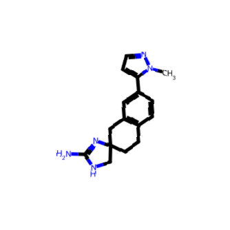 Cn1nccc1-c1ccc2c(c1)CC1(CC2)CNC(N)=N1